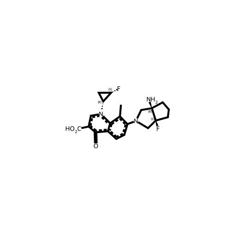 Cc1c(N2C[C@]3(N)CCC[C@]3(F)C2)ccc2c(=O)c(C(=O)O)cn([C@@H]3C[C@@H]3F)c12